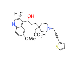 COc1ccc2ncc(C)c([C@H](O)CCC3(CC(=O)O)CCN(CC#Cc4cccs4)CC3)c2c1